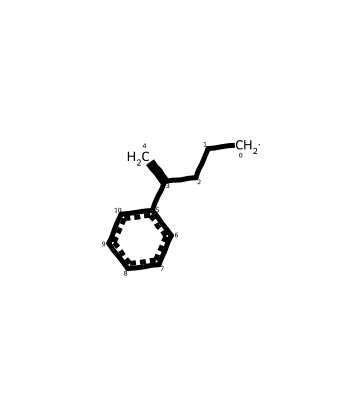 [CH2]CCC(=C)c1ccccc1